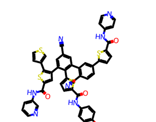 N#Cc1cc(-c2cc(-c3ccc(C(=O)Nc4ccncc4)s3)ccc2C#N)c(-c2ccc(C(=O)Nc3ccc(O)cc3)s2)c(-c2cc(C(=O)Nc3cccnc3)sc2-c2ccsc2)c1